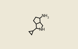 NC1CCC2C1CNC2C1CC1